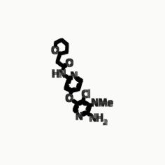 CNc1c(N)ncc(Oc2ccnc(NC(=O)CC3CCCCO3)c2)c1Cl